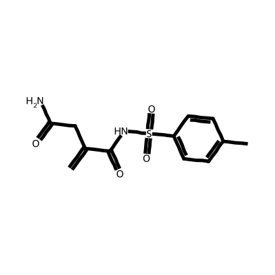 C=C(CC(N)=O)C(=O)NS(=O)(=O)c1ccc(C)cc1